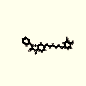 CN(C(=S)Nc1ccccc1)C1CCN(CCCCCOc2ccc(F)c(F)c2)CC1